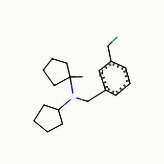 O=C(O)C1(N(Cc2cccc(CBr)c2)C2CCCC2)CCCC1